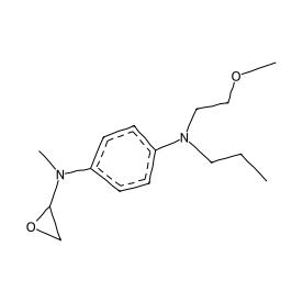 CCCN(CCOC)c1ccc(N(C)C2CO2)cc1